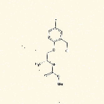 C[C@H](COc1ccc(F)cc1CCl)NC(=O)OC(C)(C)C